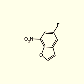 O=[N+]([O-])c1cc(F)cc2ccoc12